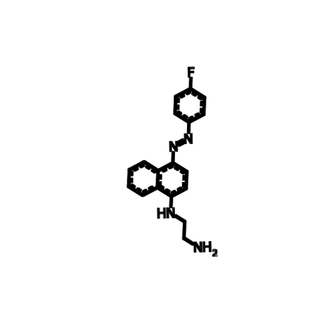 NCCNc1ccc(N=Nc2ccc(F)cc2)c2ccccc12